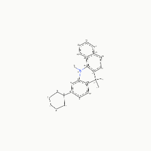 CN1c2cc(C3CCCCC3)ccc2C(C)(C)c2ccc3ccccc3c21